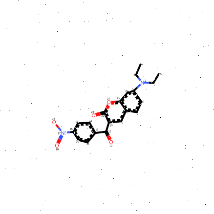 CCN(CC)c1ccc2cc(C(=O)c3ccc([N+](=O)[O-])cc3)c(=O)oc2c1